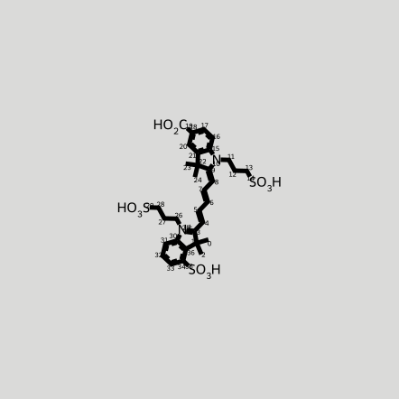 CC1(C)C(/C=C/C=C/C=C2/N(CCCS(=O)(=O)O)c3ccc(C(=O)O)cc3C2(C)C)=[N+](CCCS(=O)(=O)O)c2cccc(S(=O)(=O)O)c21